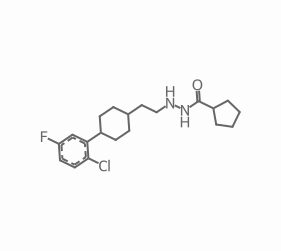 O=C(NNCCC1CCC(c2cc(F)ccc2Cl)CC1)C1CCCC1